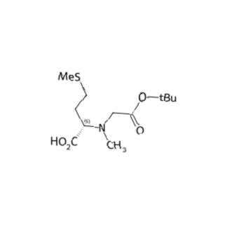 CSCC[C@@H](C(=O)O)N(C)CC(=O)OC(C)(C)C